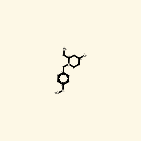 CCCCOc1ccc(CN2CCC(O)CC2CO)cc1